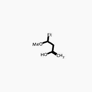 C=C(O)CC(CC)OC